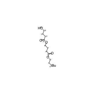 CC(C)(C)CCOC(=O)CCCOC(=O)CCCO